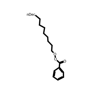 [CH2]CCCCCCCCCCCCCCCCCOOC(=O)c1ccccc1